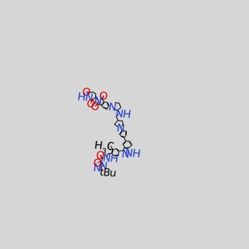 Cc1cc(-c2n[nH]c3ccc(-c4ccc(N5CCC(CN[C@@H]6CCCN(c7ccc8c(c7)C(=O)N(C7CCC(=O)NC7=O)C8=O)C6)CC5)cc4)cc23)ccc1CNC(=O)c1nc(C(C)(C)C)no1